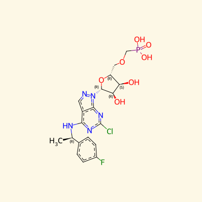 C[C@@H](Nc1nc(Cl)nc2c1cnn2[C@@H]1O[C@H](COCP(=O)(O)O)[C@@H](O)[C@H]1O)c1ccc(F)cc1